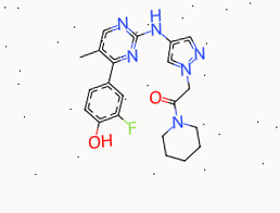 Cc1cnc(Nc2cnn(CC(=O)N3CCCCC3)c2)nc1-c1ccc(O)c(F)c1